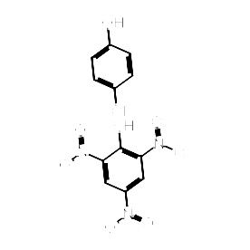 Cc1c([N+](=O)[O-])cc([N+](=O)[O-])cc1[N+](=O)[O-].Oc1ccc(O)cc1